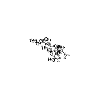 CO[C@@]12CC[C@@H](N[C@@H](CC(=O)OC(C)(C)C)C(=O)OC(C)(C)C)[C@@H]3Oc4c(O)ccc5c4[C@@]31CCN(CC1CC1)[C@@H]2C5